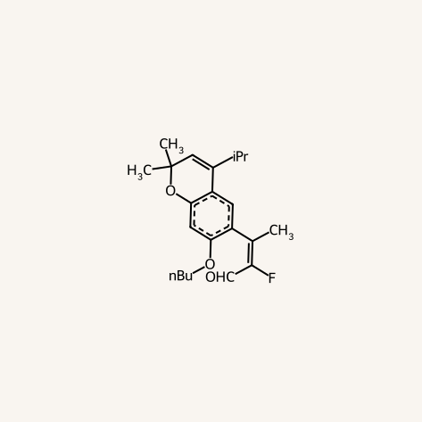 CCCCOc1cc2c(cc1/C(C)=C(/F)C=O)C(C(C)C)=CC(C)(C)O2